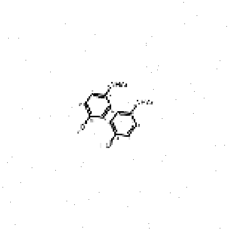 CC(=O)Nc1ccc(O)cc1.CC(=O)Nc1ccc(O)cc1